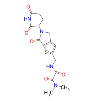 CN(C)C(=O)C(=O)NCc1cc2c(s1)C(=O)N(C1CCC(=O)NC1=O)C2